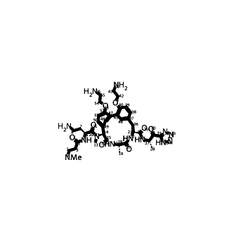 CNCCC(=O)N[C@@H](CCN)C(=O)N(C)[C@@H]1C(=O)N[C@@H](C)C(=O)N[C@H](C(=O)N[C@@H](C)C(=O)c2nnn[nH]2)Cc2ccc(OCCN)c(c2)-c2cc1ccc2OCCN